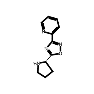 c1ccc(-c2noc([C@@H]3CCCN3)n2)nc1